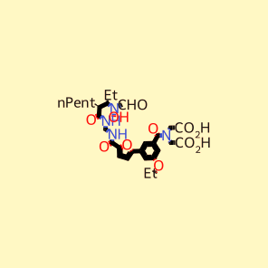 CCCCC[C@@H](C(=O)NCNC(=O)c1ccc(-c2cc(OCC)cc(C(=O)N(CC(=O)O)CC(=O)O)c2)o1)[C@@H](CC)N(O)C=O